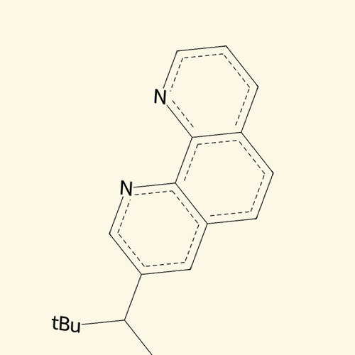 CC(c1cnc2c(ccc3cccnc32)c1)C(C)(C)C